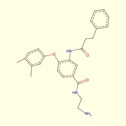 Cc1ccc(Oc2ccc(C(=O)NCCN)cc2NC(=O)CCc2ccccc2)cc1C